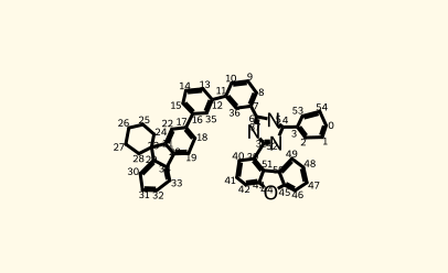 c1ccc(-c2nc(-c3cccc(-c4cccc(-c5ccc6c(c5)C5(CCCCC5)c5ccccc5-6)c4)c3)nc(-c3cccc4oc5ccccc5c34)n2)cc1